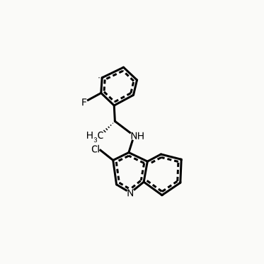 C[C@@H](Nc1c(Cl)cnc2ccccc12)c1ccc[c]c1F